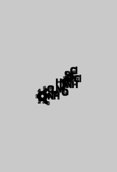 Cc1cccc(C)c1NC(=O)CNC(=O)c1cc2sc(Cl)c(Cl)c2[nH]1